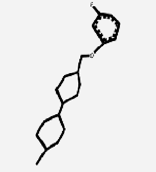 CC1CCC(C2CCC(COc3cccc(F)c3)CC2)CC1